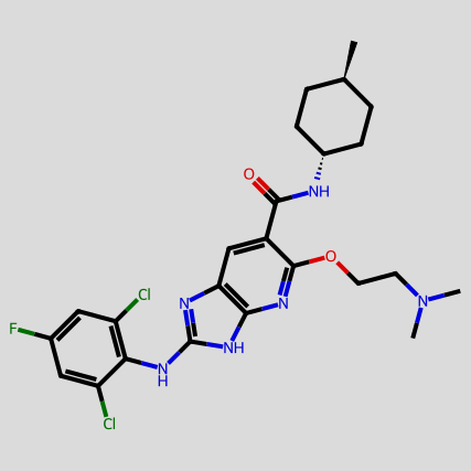 CN(C)CCOc1nc2[nH]c(Nc3c(Cl)cc(F)cc3Cl)nc2cc1C(=O)N[C@H]1CC[C@H](C)CC1